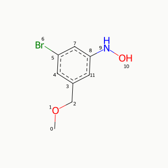 COCc1cc(Br)cc(NO)c1